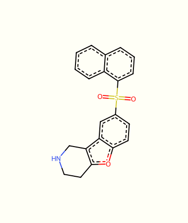 O=S(=O)(c1ccc2oc3c(c2c1)CNCC3)c1cccc2ccccc12